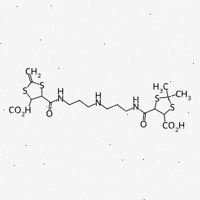 C=C1SC(C(=O)O)C(C(=O)NCCCNCCCNC(=O)C2SC(C)(C)SC2C(=O)O)S1